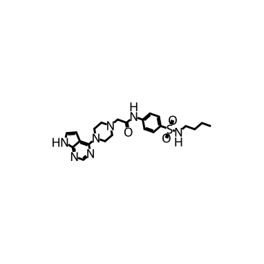 CCCCNS(=O)(=O)c1ccc(NC(=O)CN2CCN(c3ncnc4[nH]ccc34)CC2)cc1